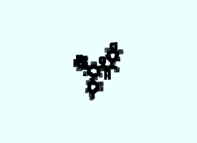 Cc1ccc(-c2cc(C(=O)NC(C)c3ccc(Cl)cc3)cc(-n3cnnn3)c2)cc1